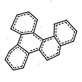 [c]1cccc2ccc3c4ccccc4c4ccccc4c3c12